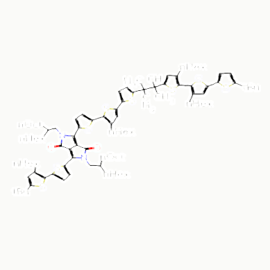 CCCCCCCCC(CCCCCC)CN1C(=O)C2=C(c3ccc(-c4sc(C(C)(C)C)cc4CCCCCC)s3)N(CC(CCCCCC)CCCCCCCC)C(=O)C2=C1c1ccc(-c2sc(-c3ccc(C(C)(C)C(C)(C)c4cc(CCCCCC)c(-c5sc(-c6ccc(C(C)(C)C)s6)cc5CCCCCC)s4)s3)cc2CCCCCC)s1